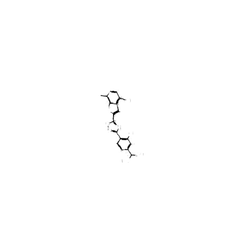 Cc1ccc(Cl)c2cc(-c3nc(-c4ccc(C(O)O)cc4Cl)no3)oc12